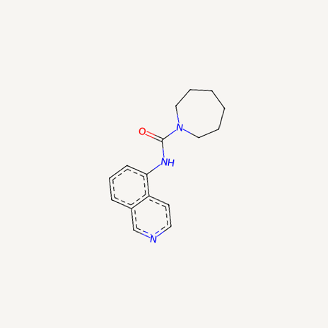 O=C(Nc1cccc2cnccc12)N1CCCCCC1